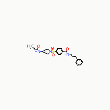 C=CC(=O)NC1C2CN(S(=O)(=O)c3ccc(C(=O)NCCCc4ccccc4)cc3)CC21